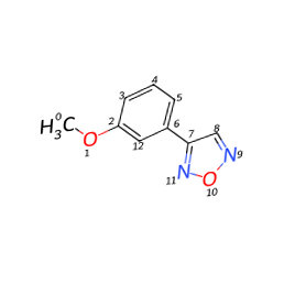 COc1cccc(-c2cnon2)c1